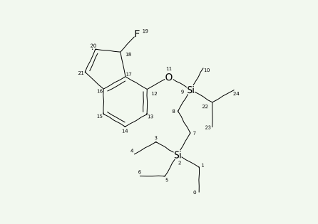 CC[Si](CC)(CC)CC[Si](C)(Oc1cccc2c1C(F)[C]=C2)C(C)C